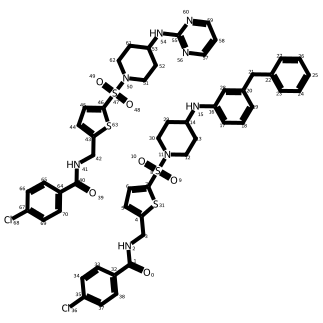 O=C(NCc1ccc(S(=O)(=O)N2CCC(Nc3cccc(Cc4ccccc4)c3)CC2)s1)c1ccc(Cl)cc1.O=C(NCc1ccc(S(=O)(=O)N2CCC(Nc3ncccn3)CC2)s1)c1ccc(Cl)cc1